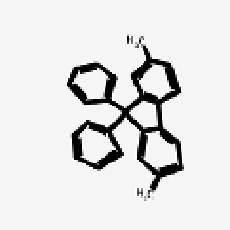 Cc1ccc2c(c1)C(c1ccccc1)(c1ccccc1)c1cc(C)ccc1-2